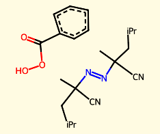 CC(C)CC(C)(C#N)N=NC(C)(C#N)CC(C)C.O=C(OO)c1ccccc1